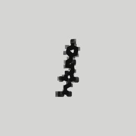 O=C(O)CCN1C(=O)C(=Cc2ccc(-c3ccc(Cl)cc3)o2)SC1=S